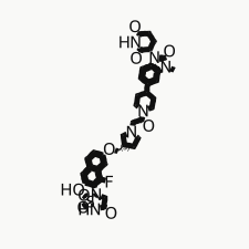 Cn1c(=O)n(C2CCC(=O)NC2=O)c2ccc(C3CCN(C(=O)CN4CC[C@H](COc5ccc6cc(O)c(N7CC(=O)NS7(=O)=O)c(F)c6c5)C4)CC3)cc21